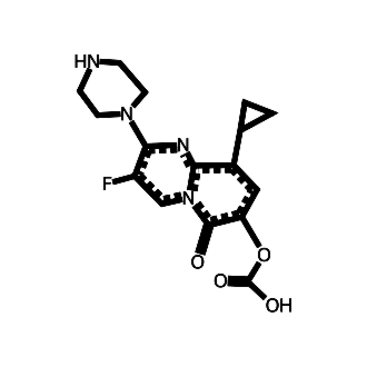 O=C(O)Oc1cc(C2CC2)c2nc(N3CCNCC3)c(F)cn2c1=O